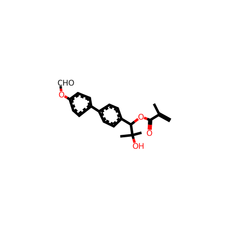 C=C(C)C(=O)OC(c1ccc(-c2ccc(OC=O)cc2)cc1)C(C)(C)O